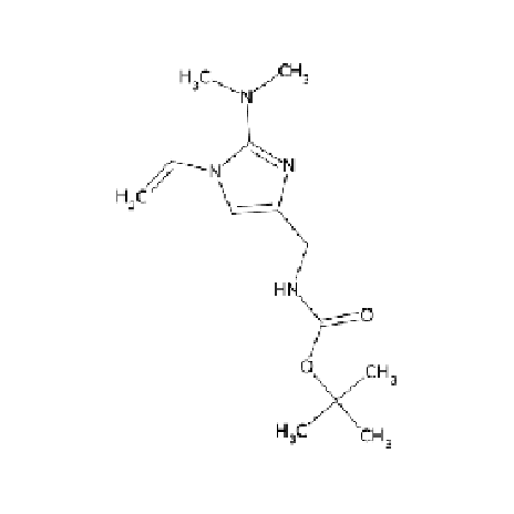 C=Cn1cc(CNC(=O)OC(C)(C)C)nc1N(C)C